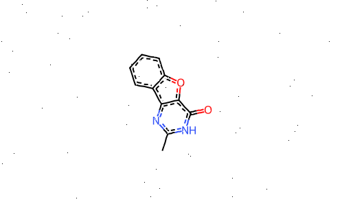 Cc1nc2c(oc3ccccc32)c(=O)[nH]1